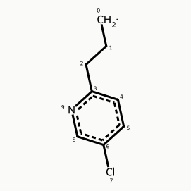 [CH2]CCc1ccc(Cl)cn1